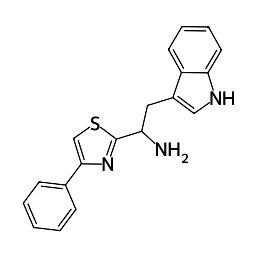 NC(Cc1c[nH]c2ccccc12)c1nc(-c2ccccc2)cs1